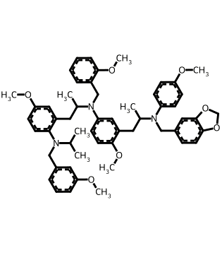 COc1ccc(N(Cc2ccc3c(c2)OCO3)C(C)Cc2cc(N(Cc3ccccc3OC)C(C)Cc3cc(OC)ccc3N(Cc3cccc(OC)c3)C(C)C)ccc2OC)cc1